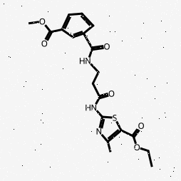 CCOC(=O)c1sc(NC(=O)CCNC(=O)c2cccc(C(=O)OC)c2)nc1C